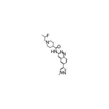 CC(F)CN1CCC(C(=O)Nc2cc3cc(-c4cnn(C)c4)ccc3nn2)CC1